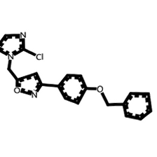 Clc1nccn1Cc1cc(-c2ccc(OCc3ccccc3)cc2)no1